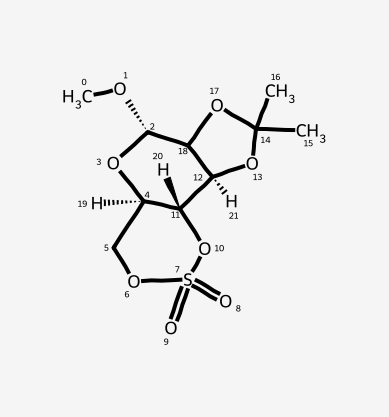 CO[C@H]1O[C@@H]2COS(=O)(=O)O[C@H]2[C@@H]2OC(C)(C)OC12